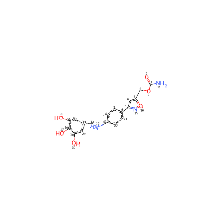 NC(=O)OCc1cc(-c2ccc(NCc3cc(O)c(O)c(O)c3)cc2)no1